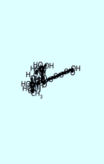 CC(=O)N[C@@H]1[C@@H](O)[C@H](O)[C@@H](CO)O[C@H]1NC(=O)C[C@H](NC(=O)CO[C@@H]1O[C@H](CO)[C@@H](O)[C@H](O)[C@H]1NC(C)=O)C(=O)NCCOCCOCCOCCOCCC(=O)O